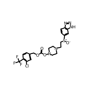 O=C(OCc1ccc(C(F)(F)F)c(Cl)c1)ON1CCN(CC[S+]([O-])c2ccc3nn[nH]c3c2)CC1